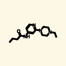 CCCC(=O)Nc1ccnc(N2CCN(CC)CC2)c1